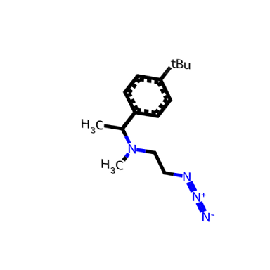 CC(c1ccc(C(C)(C)C)cc1)N(C)CCN=[N+]=[N-]